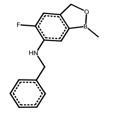 CB1OCc2cc(F)c(NCc3ccccc3)cc21